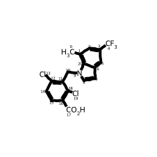 Cc1cc(C(F)(F)F)cc2ccn(Cc3c(Cl)ccc(C(=O)O)c3Cl)c12